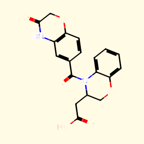 O=C(O)CC1COc2ccccc2N1C(=O)c1ccc2c(c1)NC(=O)CO2